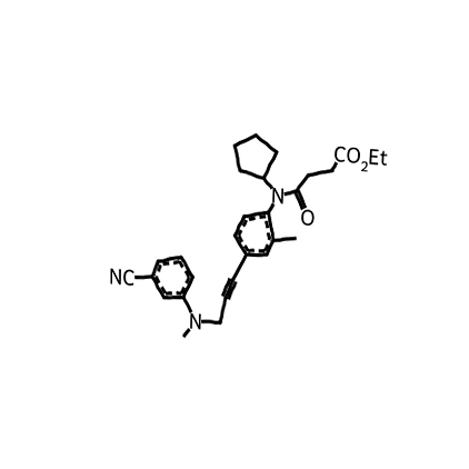 CCOC(=O)CCC(=O)N(c1ccc(C#CCN(C)c2cccc(C#N)c2)cc1C)C1CCCC1